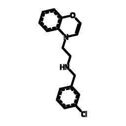 Clc1cccc(CNCCN2C=COc3ccccc32)c1